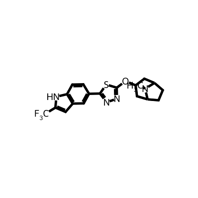 CN1C2CCC1CC(Oc1nnc(-c3ccc4[nH]c(C(F)(F)F)cc4c3)s1)C2